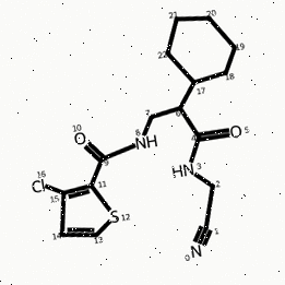 N#CCNC(=O)C(CNC(=O)c1sccc1Cl)C1CCCCC1